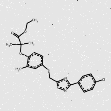 CCOC(=O)C(C)(C)Oc1ccc(SCc2nc(-c3ccc(Cl)cc3)ns2)cc1C